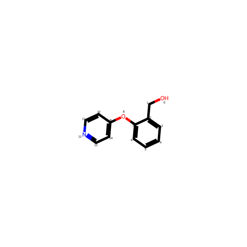 OCc1ccccc1Oc1ccncc1